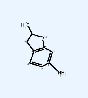 CC1Cc2ccc(N)cc2O1